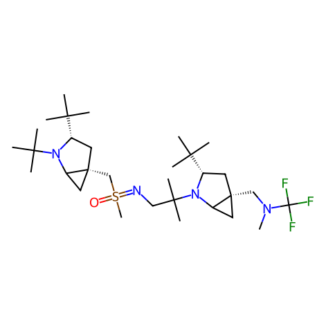 CN(C[C@]12CC1N(C(C)(C)CN=S(C)(=O)C[C@]13CC1N(C(C)(C)C)[C@H](C(C)(C)C)C3)[C@H](C(C)(C)C)C2)C(F)(F)F